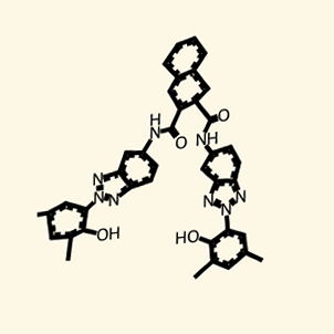 Cc1cc(C)c(O)c(-n2nc3ccc(NC(=O)c4cc5ccccc5cc4C(=O)Nc4ccc5nn(-c6cc(C)cc(C)c6O)nc5c4)cc3n2)c1